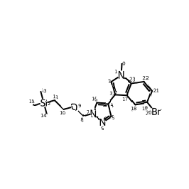 Cn1cc(-c2cnn(COCC[Si](C)(C)C)c2)c2cc(Br)ccc21